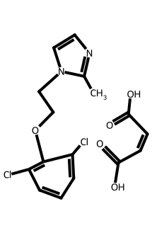 Cc1nccn1CCOc1c(Cl)cccc1Cl.O=C(O)/C=C\C(=O)O